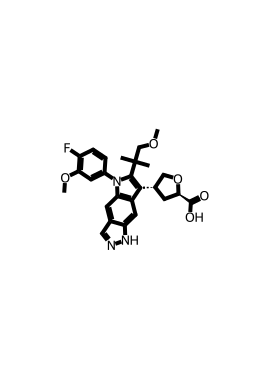 COCC(C)(C)c1c([C@@H]2CO[C@@H](C(=O)O)C2)c2cc3[nH]ncc3cc2n1-c1ccc(F)c(OC)c1